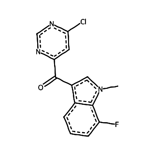 Cn1cc(C(=O)c2cc(Cl)ncn2)c2cccc(F)c21